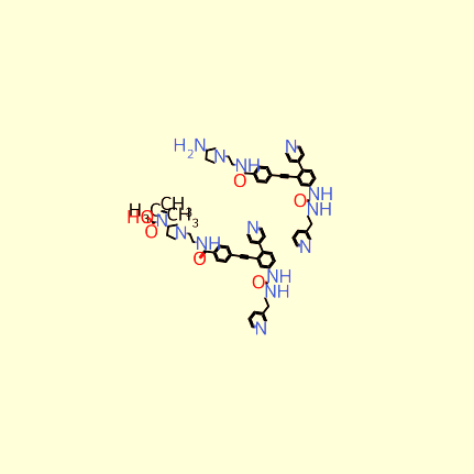 CC(C)(C)N(C(=O)O)C1CCN(CCNC(=O)c2ccc(C#Cc3cc(NC(=O)NCCc4cccnc4)ccc3-c3ccncc3)cc2)C1.NC1CCN(CCNC(=O)c2ccc(C#Cc3cc(NC(=O)NCCc4cccnc4)ccc3-c3ccncc3)cc2)C1